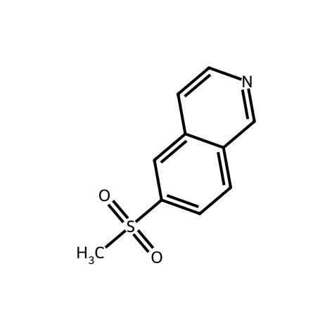 CS(=O)(=O)c1ccc2cnccc2c1